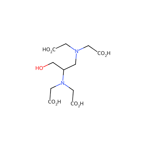 O=C(O)CN(CC(=O)O)CC(CO)N(CC(=O)O)CC(=O)O